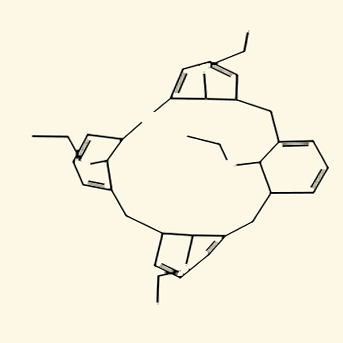 O=C(O)COC1C2=CC=CC1CC1=CC=CC(CC3=CC=CC(CC4=CC=CC(C2)C4OCC(=O)O)C3OCC(=O)O)C1OCC(=O)O